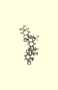 CCOc1cc2c(cc1C(=O)NC1CCC3(CC1)CC3)nc(Nc1c(Cl)ccc(Cl)c1F)n2C